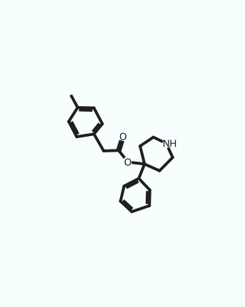 Cc1ccc(CC(=O)OC2(c3ccccc3)CCNCC2)cc1